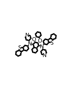 c1ccc2c(c1)Oc1c(c(N(c3ccncc3)c3ccc4c(c3)sc3ccccc34)c3ccccc3c1N(c1ccncc1)c1ccc3c(c1)sc1ccccc13)O2